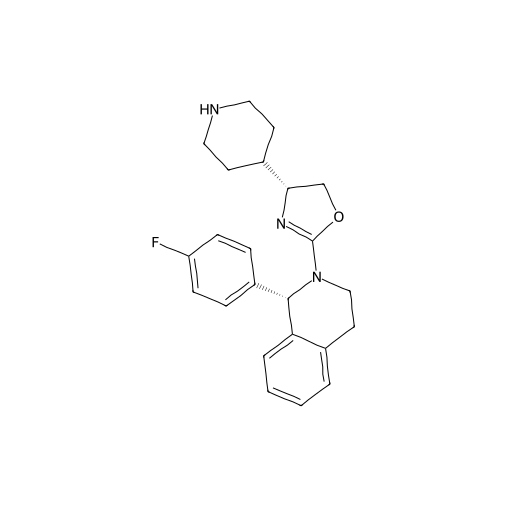 Fc1ccc([C@H]2c3ccccc3CCN2C2=N[C@H](C3CCNCC3)CO2)cc1